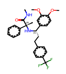 CNC(=O)[C@](C)(N[C@@H](CCc1ccc(C(F)(F)F)cc1)c1ccc(OC)c(OC)c1)c1ccccc1